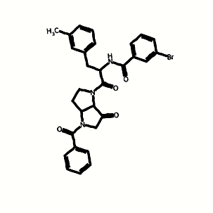 Cc1cccc(CC(NC(=O)c2cccc(Br)c2)C(=O)N2CCC3C2C(=O)CN3C(=O)c2ccccc2)c1